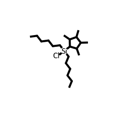 CCCCCC[Si](Cl)(CCCCCC)C1C(C)C(C)C(C)C1C